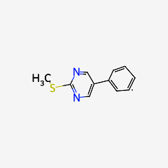 CSc1ncc(-c2c[c]ccc2)cn1